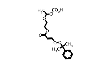 CC(OCCOC(=O)C=COOC(C)(C)c1ccccc1)OC(=O)O